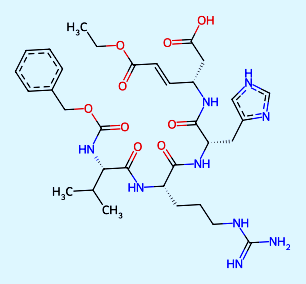 CCOC(=O)/C=C/[C@H](CC(=O)O)NC(=O)[C@H](Cc1c[nH]cn1)NC(=O)[C@H](CCCNC(=N)N)NC(=O)[C@@H](NC(=O)OCc1ccccc1)C(C)C